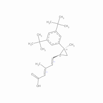 CC(/C=C/[C@@H]1C[C@]1(C)c1cc(C(C)(C)C)cc(C(C)(C)C)c1)=C\C(=O)O